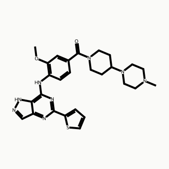 COc1cc(C(=O)N2CCC(N3CCN(C)CC3)CC2)ccc1Nc1nc(-c2cccs2)nc2cn[nH]c12